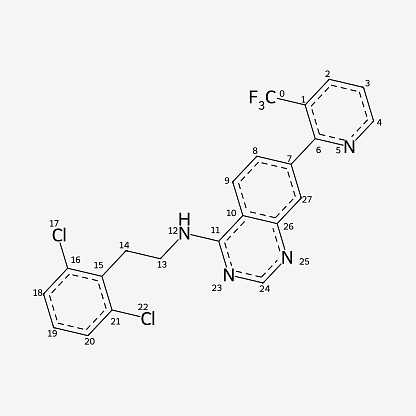 FC(F)(F)c1cccnc1-c1ccc2c(NCCc3c(Cl)cccc3Cl)ncnc2c1